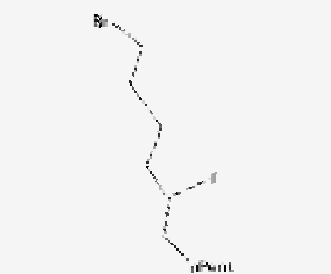 CCCCCCC(I)CCCCBr